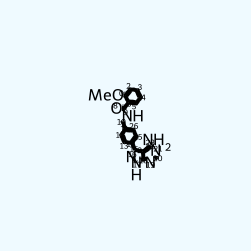 COc1ccccc1C(=O)NCc1ccc(-c2n[nH]c3ncnc(N)c23)cc1